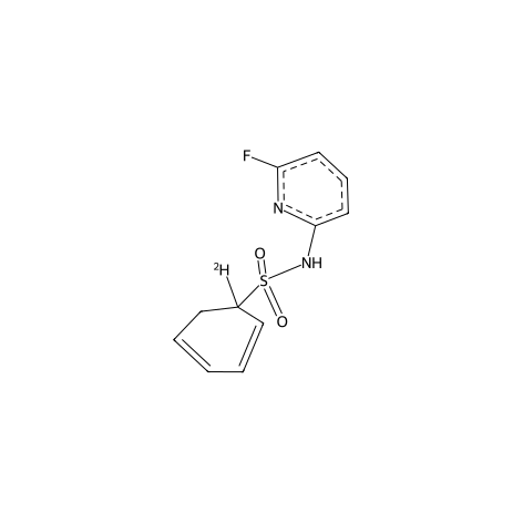 [2H]C1(S(=O)(=O)Nc2cccc(F)n2)C=CC=CC1